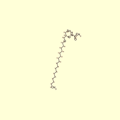 CCCCCCCCCCCCCCCCCCOCC(CS)ONC(C)=O